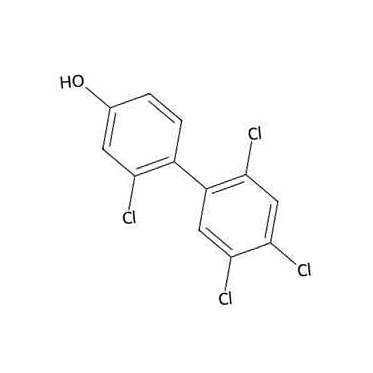 Oc1ccc(-c2cc(Cl)c(Cl)cc2Cl)c(Cl)c1